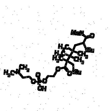 CNC(=O)C(CC(C)(C)C(C)(C)C(C)(CC(C)(C)C)C(=O)OCCOP(=O)(O)OCCN(C)C)C(C)(C)C